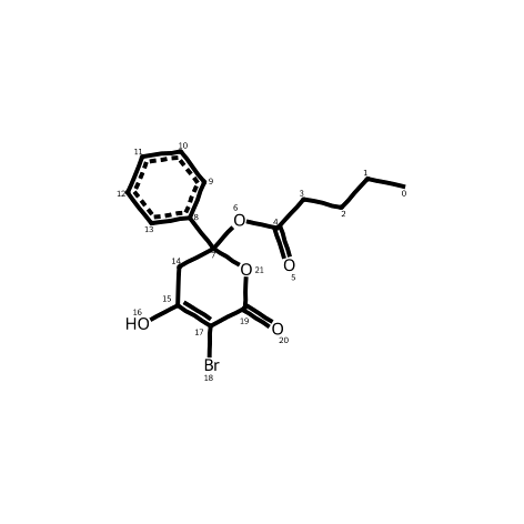 CCCCC(=O)OC1(c2ccccc2)CC(O)=C(Br)C(=O)O1